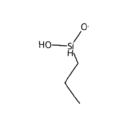 CCC[SiH]([O])O